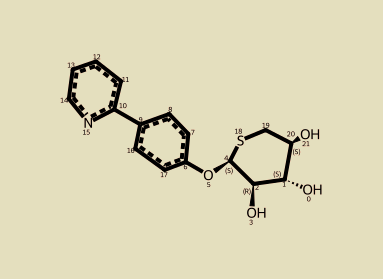 O[C@@H]1[C@@H](O)[C@@H](Oc2ccc(-c3ccccn3)cc2)SC[C@H]1O